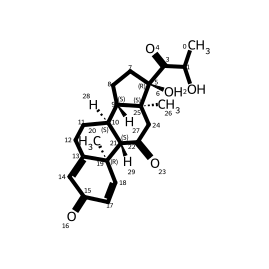 CC(O)C(=O)[C@@]1(O)CC[C@H]2[C@@H]3CCC4=CC(=O)C=C[C@]4(C)[C@H]3C(=O)C[C@@]21C